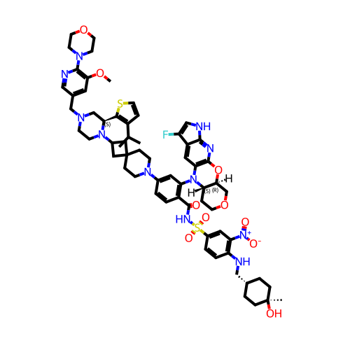 COc1cc(CN2CCN(C3CC4(CCN(c5ccc(C(=O)NS(=O)(=O)c6ccc(NC[C@H]7CC[C@](C)(O)CC7)c([N+](=O)[O-])c6)c(N6c7cc8c(F)c[nH]c8nc7O[C@H]7COCC[C@@H]76)c5)CC4)C3)[C@H](c3sccc3C(C)C)C2)cnc1N1CCOCC1